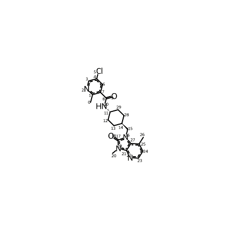 Cc1ncc(Cl)cc1C(=O)N[C@H]1CC[C@H](Cn2c(=O)n(C)c3nccc(C)c32)CC1